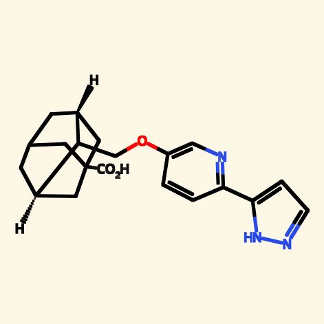 O=C(O)C12CC3C[C@H](C1)C(COc1ccc(-c4ccn[nH]4)nc1)[C@H](C3)C2